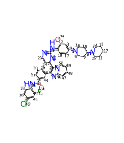 COc1cc(N2CCC(N3CCCCC3)CC2)ccc1Nc1nccc(-c2c(-c3cccc(C(=O)Nc4ccc(Cl)cc4F)c3)nc3ccccn23)n1